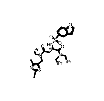 Cc1nc(C)c(CN(CC(C)C)C(=O)C[C@H](NS(=O)(=O)c2ccc3occc3c2)C(=O)N(CC(C)C)CC(C)C)s1